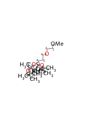 COCCOCCC[Si](C)(O[Si](C)(C)C)O[Si](C)(C)O[Si](C)(C)C